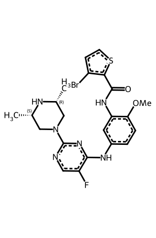 COc1ccc(Nc2nc(N3C[C@@H](C)N[C@@H](C)C3)ncc2F)cc1NC(=O)c1sccc1Br